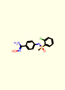 CS(=O)(=Nc1ccc(/C(N)=N/O)cc1)c1ccccc1F